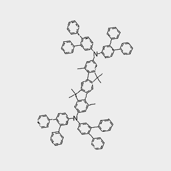 Cc1cc(N(c2ccc(-c3ccccc3)c(-c3ccccc3)c2)c2ccc(-c3ccccc3)c(-c3ccccc3)c2)cc2c1-c1cc3c(cc1C2(C)C)-c1c(C)cc(N(c2ccc(-c4ccccc4)c(-c4ccccc4)c2)c2ccc(-c4ccccc4)c(-c4ccccc4)c2)cc1C3(C)C